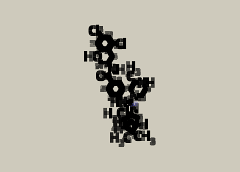 C[C@@H]1[C@@H](/N=C(\Nc2ccc(C(=O)N[C@@H](CO)Cc3ccc(Cl)cc3Cl)cc2)N2CCN[C@@H](C)C2)C[C@H]2C[C@@H]1C2(C)C